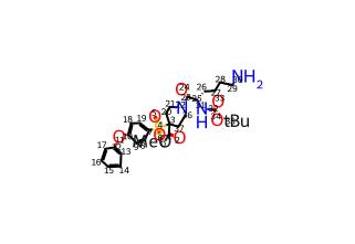 COC(=O)C1(S(=O)(=O)c2ccc(Oc3ccccc3)cc2)CCN(C(=O)[C@H](CCCCN)NC(=O)OC(C)(C)C)CC1